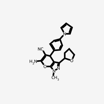 Cn1nc(C2CCCO2)c2c1OC(N)=C(C#N)C2c1ccc(-n2cccc2)cc1